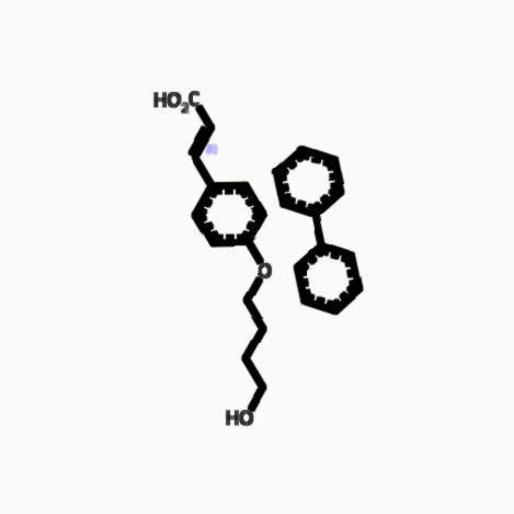 O=C(O)/C=C/c1ccc(OCCCCO)cc1.c1ccc(-c2ccccc2)cc1